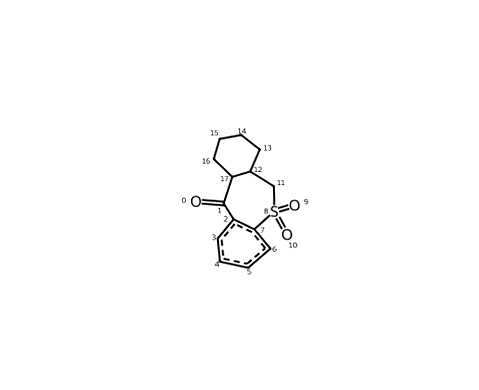 O=C1c2ccccc2S(=O)(=O)CC2CCCCC12